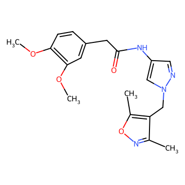 COc1ccc(CC(=O)Nc2cnn(Cc3c(C)noc3C)c2)cc1OC